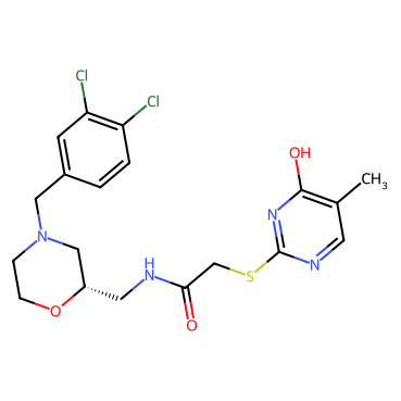 Cc1cnc(SCC(=O)NC[C@H]2CN(Cc3ccc(Cl)c(Cl)c3)CCO2)nc1O